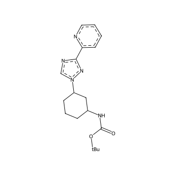 CC(C)(C)OC(=O)NC1CCCC(n2cnc(-c3ccccn3)n2)C1